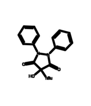 CCCCC1(O)C(=O)N(c2ccccc2)N(c2ccccc2)C1=O